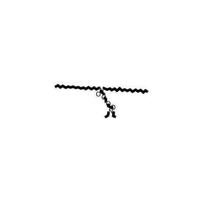 CCCCCCCCCCCCCCCCCCN(CCCCCCCCCCCCCCCCCC)C(=O)COCCOCC(=O)N(CCC)CCC